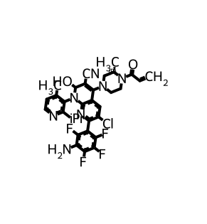 C=CC(=O)N1CCN(C2=C(C#N)C(O)N(c3c(C)ccnc3C(C)C)c3nc(-c4c(F)c(N)c(F)c(F)c4F)c(Cl)cc32)C[C@H]1C